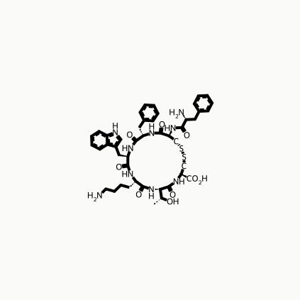 C[C@@H](O)[C@@H]1NC(=O)[C@H](CCCCN)NC(=O)[C@@H](Cc2c[nH]c3ccccc23)NC(=O)[C@H](Cc2ccccc2)NC(=O)[C@@H](NC(=O)[C@H](N)Cc2ccccc2)CSSC[C@@H](C(=O)O)NC1=O